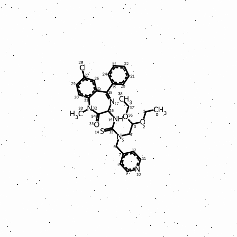 CCOC(CN(Cc1ccncc1)C(=S)NC1N=C(c2ccccc2)c2cc(Cl)ccc2N(C)C1=O)OCC